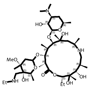 CCNC[C@]1(O)[C@H](C)OC(O[C@@H]2[C@@H](C)[C@@H](O[C@@H]3O[C@H](C)C[C@H](N(C)C)[C@H]3O)[C@](C)(O)C[C@@H](C)NC[C@@H](C)[C@H](O)[C@](C)(O)[C@H](CC)OC(=O)[C@@H]2C)C[C@@]1(C)OC